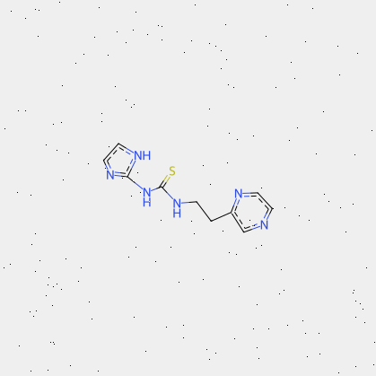 S=C(NCCc1cnccn1)Nc1ncc[nH]1